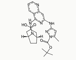 Cc1cc(Nc2cc3ncccc3c(NC3C[C@H]4CC[C@@H](C3)N4C(=O)O)n2)nn1C(=O)OC(C)(C)C